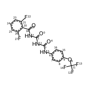 O=C(NC(=O)Nc1ccc(OC(F)(F)F)cc1)NC(=O)c1c(F)cccc1F